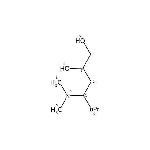 CCCC(CC(O)CO)N(C)C